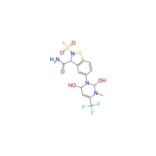 CN1C(C(F)(F)F)=CC(O)N(c2ccc3c(c2)C(C(N)=O)N(S(C)(=O)=O)S3)C1O